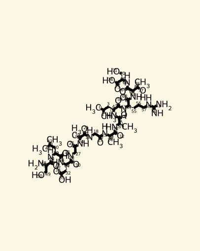 CC(C)C[C@H](NC(=O)[C@H](C)NC(=O)[C@H](C)NC(=O)CNC(=O)[C@H](C)NC(=O)CNC(=O)[C@H](CC(=O)O)NC(=O)[C@H](CC(C)C)NC(=O)[C@@H](N)CO)C(=O)N[C@@H](CCCNC(=N)N)C(=O)N[C@H](C(=O)N[C@@H](CO)C(=O)O)[C@@H](C)O